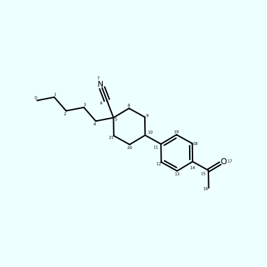 CCCCCC1(C#N)CCC(c2ccc(C(C)=O)cc2)CC1